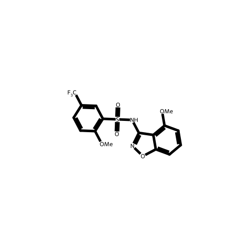 COc1ccc(C(F)(F)F)cc1S(=O)(=O)Nc1noc2cccc(OC)c12